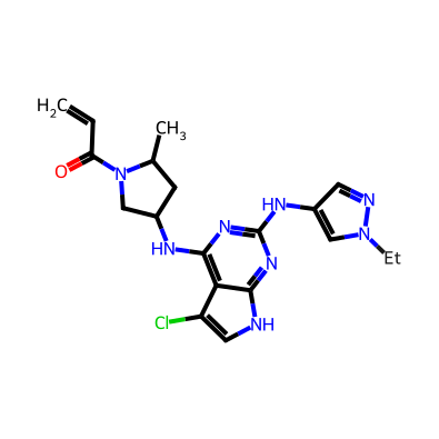 C=CC(=O)N1CC(Nc2nc(Nc3cnn(CC)c3)nc3[nH]cc(Cl)c23)CC1C